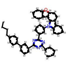 CCCCc1ccc(-c2cccc(-c3nc(-c4ccccc4)nc(-c4cccc(-n5c6ccccc6c6ccc7oc8ccccc8c7c65)c4)n3)c2)cc1